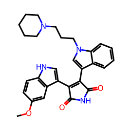 COc1ccc2[nH]cc(C3=C(c4cn(CCCN5CCCCC5)c5ccccc45)C(=O)NC3=O)c2c1